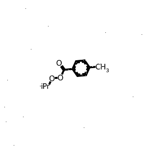 C[C](C)OOC(=O)c1ccc(C)cc1